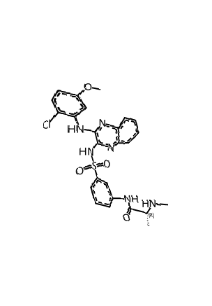 CN[C@H](C)C(=O)Nc1cccc(S(=O)(=O)Nc2nc3ccccc3nc2Nc2cc(OC)ccc2Cl)c1